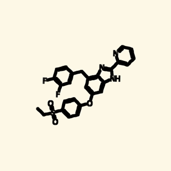 CCS(=O)(=O)c1ccc(Oc2cc(Cc3ccc(F)c(F)c3)c3nc(-c4ccccn4)[nH]c3c2)cc1